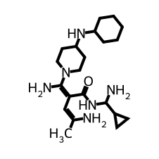 C/C(N)=C/C(C(=O)NC(N)C1CC1)=C(\N)N1CCC(NC2CCCCC2)CC1